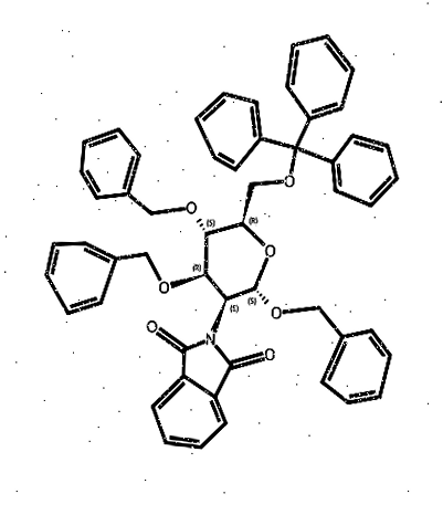 O=C1c2ccccc2C(=O)N1[C@@H]1[C@@H](OCc2ccccc2)O[C@H](COC(c2ccccc2)(c2ccccc2)c2ccccc2)[C@@H](OCc2ccccc2)[C@@H]1OCc1ccccc1